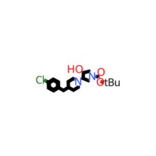 CC(C)(C)OC(=O)N1C[C@H](O)[C@@H](N2CCC(Cc3ccc(Cl)cc3)CC2)C1